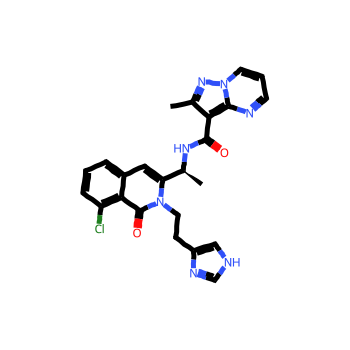 Cc1nn2cccnc2c1C(=O)N[C@@H](C)c1cc2cccc(Cl)c2c(=O)n1CCc1c[nH]cn1